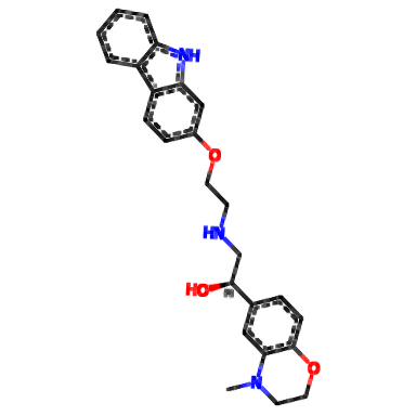 CN1CCOc2ccc([C@@H](O)CNCCOc3ccc4c(c3)[nH]c3ccccc34)cc21